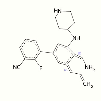 C=C/C=c1/cc(-c2cccc(C#N)c2F)cc(NC2CCNCC2)/c1=C/N